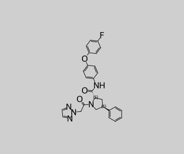 O=C(Nc1ccc(Oc2ccc(F)cc2)cc1)[C@@H]1C[C@@H](c2ccccc2)CN1C(=O)Cn1nccn1